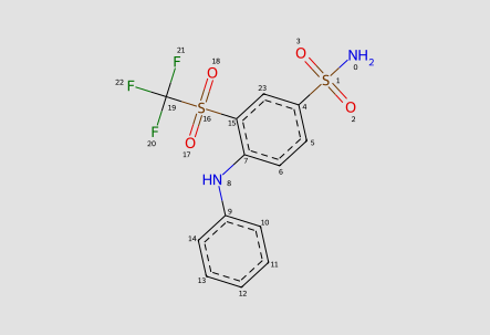 NS(=O)(=O)c1ccc(Nc2ccccc2)c(S(=O)(=O)C(F)(F)F)c1